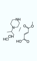 CC.CC(C)N1CCNCC1.COC(=O)C=CC(=O)O.Cl.Cl